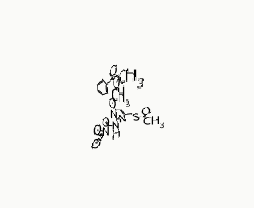 COC(=O)c1ccccc1.COc1cc(CSC(C)=O)nc(NC(=O)N=S(=O)=O)n1